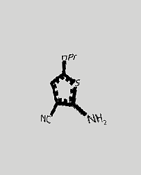 CCCc1cc(C#N)c(N)s1